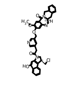 COc1cc2c(cc1OCc1cncc(CC(=O)N3C[C@@H](CCl)c4c3cc(O)c3ccccc43)c1)N=C[C@@H]1Cc3ccccc3CN1C2=O